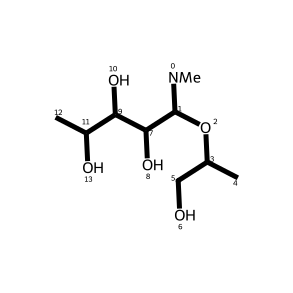 CNC(OC(C)CO)C(O)C(O)C(C)O